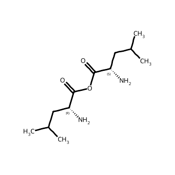 CC(C)C[C@@H](N)C(=O)OC(=O)[C@@H](N)CC(C)C